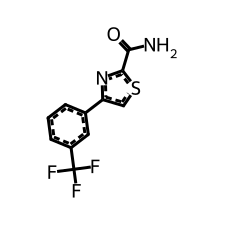 NC(=O)c1nc(-c2cccc(C(F)(F)F)c2)cs1